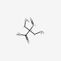 CCC(CC)(P=O)C(=O)O